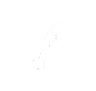 COc1ccc(COc2cc[c]nc2)cc1